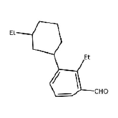 CCc1c(C=O)cccc1C1CCCC(CC)C1